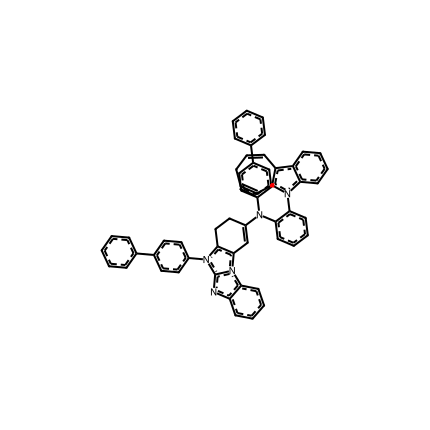 C1#Cc2c(c3ccccc3n2-c2ccccc2N(C2=Cc3c(n(-c4ccc(-c5ccccc5)cc4)c4nc5ccccc5n34)CC2)c2ccc(-c3ccccc3)cc2)C=CC1